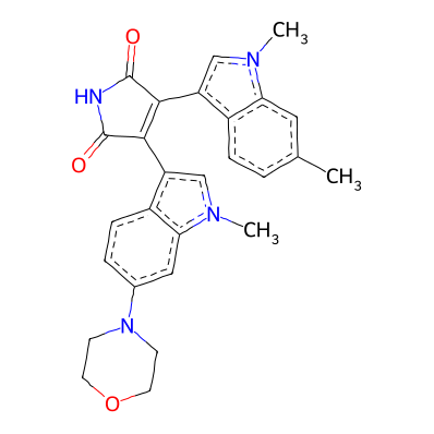 Cc1ccc2c(C3=C(c4cn(C)c5cc(N6CCOCC6)ccc45)C(=O)NC3=O)cn(C)c2c1